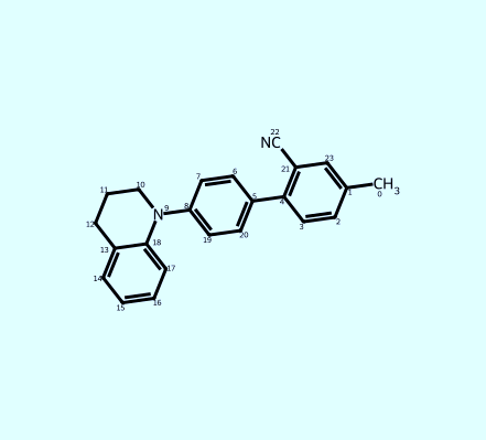 Cc1ccc(-c2ccc(N3CCCc4ccccc43)cc2)c(C#N)c1